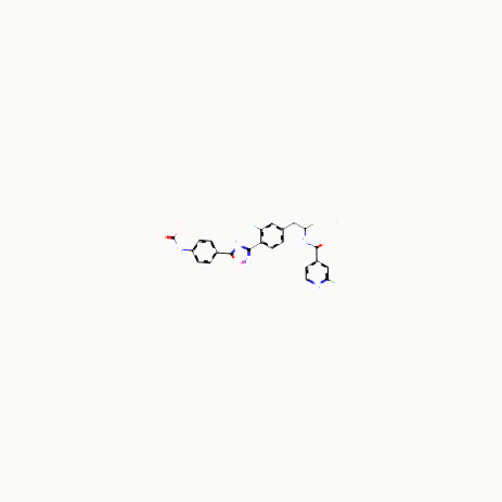 CC(C)(C)OC(=O)Nc1ccc(-c2nc(-c3ccc(CC(NC(=O)c4ccnc(Cl)c4)C(=O)O)cc3F)no2)cc1